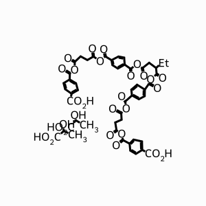 CC(O)C(=O)O.CC(O)C(=O)O.CCC(CC(=O)OC(=O)c1ccc(C(=O)OC(=O)CCC(=O)OC(=O)c2ccc(C(=O)O)cc2)cc1)C(=O)OC(=O)c1ccc(C(=O)OC(=O)CCC(=O)OC(=O)c2ccc(C(=O)O)cc2)cc1